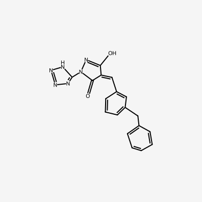 O=C1/C(=C\c2cccc(Cc3ccccc3)c2)C(O)=NN1c1nnn[nH]1